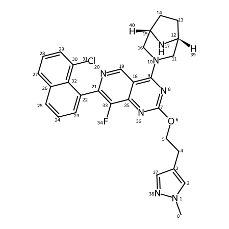 Cn1cc(CCOc2nc(N3C[C@H]4CC[C@@H](C3)N4)c3cnc(-c4cccc5cccc(Cl)c45)c(F)c3n2)cn1